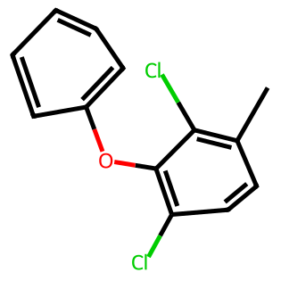 Cc1ccc(Cl)c(Oc2ccccc2)c1Cl